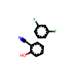 Fc1cccc(F)c1.N#Cc1ccccc1O